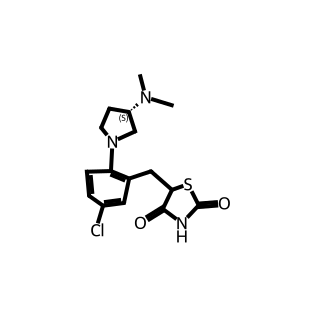 CN(C)[C@H]1CCN(c2ccc(Cl)cc2CC2SC(=O)NC2=O)C1